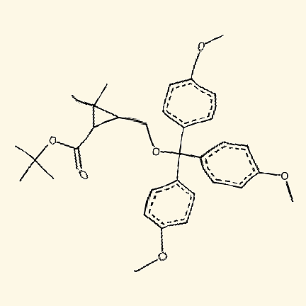 COc1ccc(C(OCC2C(C(=O)OC(C)(C)C)C2(C)C)(c2ccc(OC)cc2)c2ccc(OC)cc2)cc1